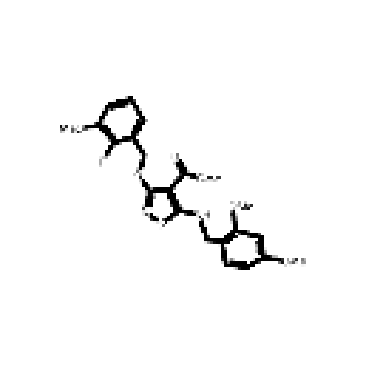 COC(=O)c1c(OCc2cccc(OC)c2F)nsc1NCc1ccc(OC)cc1OC